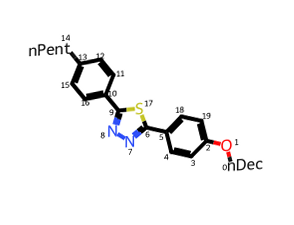 CCCCCCCCCCOc1ccc(-c2nnc(-c3ccc(CCCCC)cc3)s2)cc1